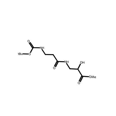 COC(=O)C(O)CNC(=O)CCNC(=O)OC(C)(C)C